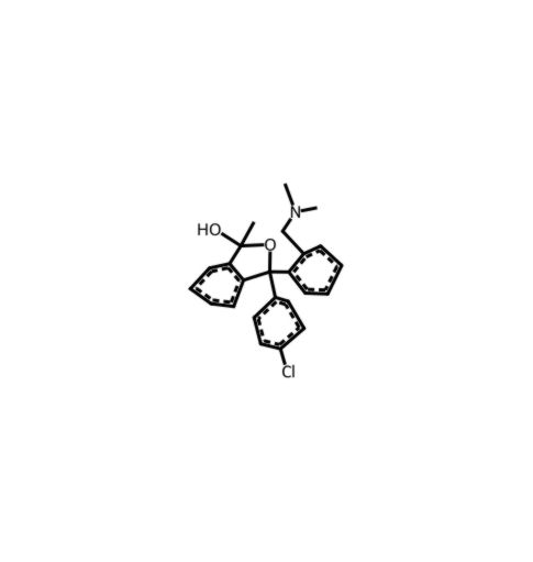 CN(C)Cc1ccccc1C1(c2ccc(Cl)cc2)OC(C)(O)c2ccccc21